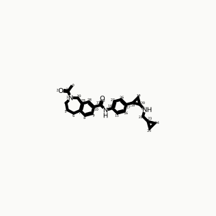 CC(=O)N1CCCc2ccc(C(=O)Nc3ccc(C4CC4NCC4CC4)cc3)cc2C1